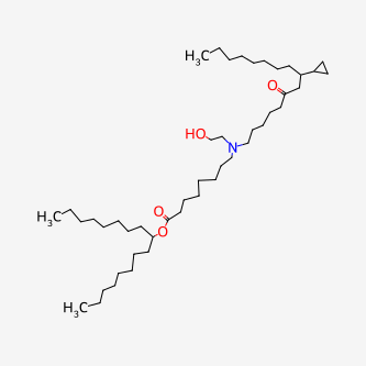 CCCCCCCCC(CCCCCCCC)OC(=O)CCCCCCCN(CCO)CCCCCC(=O)CC(CCCCCCCC)C1CC1